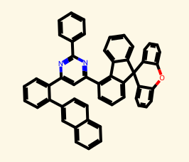 c1ccc(-c2nc(-c3ccccc3-c3ccc4ccccc4c3)cc(-c3cccc4c3-c3ccccc3C43c4ccccc4Oc4ccccc43)n2)cc1